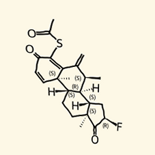 C=C1C2=C(SC(C)=O)C(=O)C=C[C@]2(C)[C@H]2CC[C@]3(C)C(=O)[C@H](F)C[C@H]3[C@@H]2[C@@H]1C